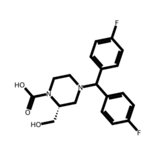 O=C(O)N1CCN(C(c2ccc(F)cc2)c2ccc(F)cc2)C[C@@H]1CO